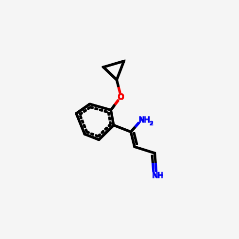 N=C/C=C(\N)c1ccccc1OC1CC1